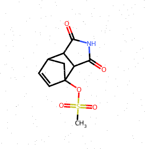 CS(=O)(=O)OC12C=CC(C1)C1C(=O)NC(=O)C12